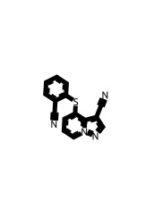 N#Cc1ccccc1Sc1cccn2ncc(C#N)c12